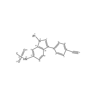 C#Cc1ccc(-c2cn(C(C)C)c3cc(NS(C)(=O)=O)ccc23)cc1